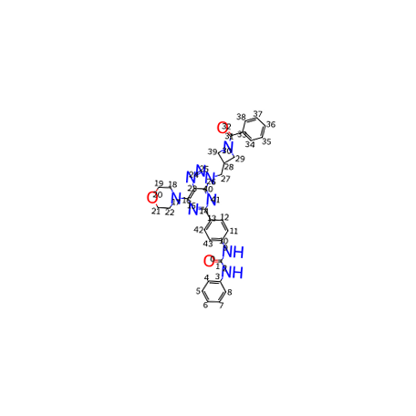 O=C(Nc1ccccc1)Nc1ccc(-c2nc(N3CCOCC3)c3nnn(CC4CN(C(=O)c5ccccc5)C4)c3n2)cc1